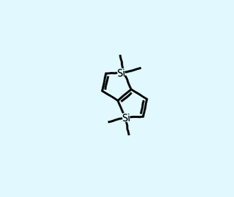 C[Si]1(C)C=CC2=C1C=C[Si]2(C)C